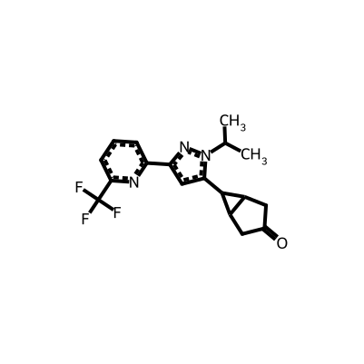 CC(C)n1nc(-c2cccc(C(F)(F)F)n2)cc1C1C2CC(=O)CC21